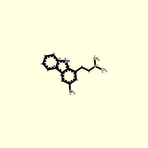 CN(C)CCc1cc(N)cc2c1[nH]c1ccccc12